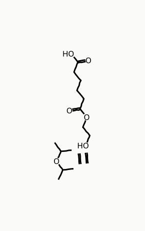 C=C.C=C.CC(C)OC(C)C.O=C(O)CCCCC(=O)OCCO